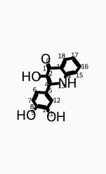 O=c1c(O)c(-c2ccc(O)c(O)c2)[nH]c2ccccc12